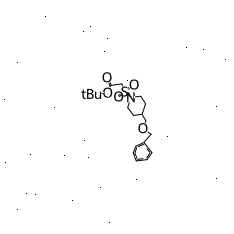 CC(C)(C)OC(=O)CS(=O)(=O)N1CCC(COCc2ccccc2)CC1